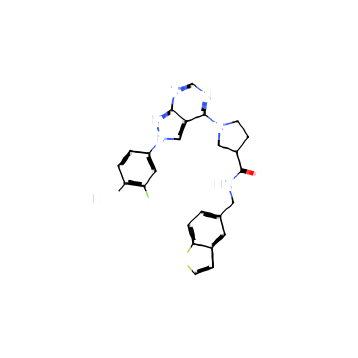 Cc1ccc(-n2cc3c(N4CCC(C(=O)NCc5ccc6sccc6c5)C4)ncnc3n2)cc1F